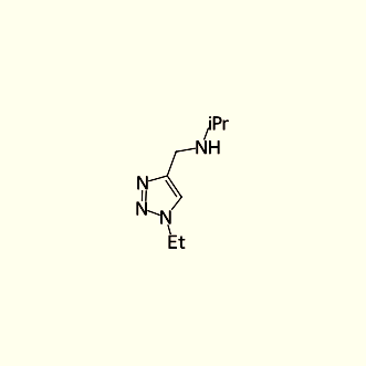 CCn1cc(CNC(C)C)nn1